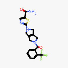 NC(=O)c1cnc(N2CC3=C(CN(C(=O)c4ccccc4C(F)(F)F)C3)C2)s1